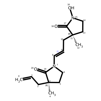 C=CC[C@]1(C)CCN(/C=C/C[C@]2(C)CCN(O)C2=O)C1=O